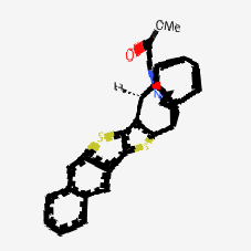 COC(=O)N1C=CC2C3c4sc5c(sc6cc7ccccc7cc65)c4[C@H](C4C=CC=CC34)C21